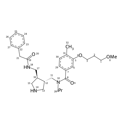 COCCCOc1cc(C(=O)N(C[C@@H]2CNC[C@H]2CNC(=O)Cc2ccccc2)C(C)C)ccc1C